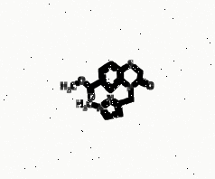 COC(=O)c1ccc2c(c1)N(Cc1ccn(C)n1)C(=O)CS2